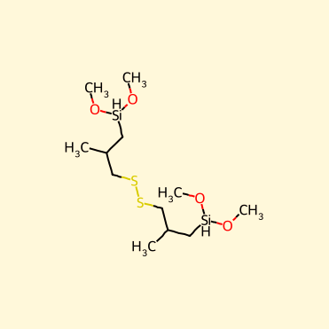 CO[SiH](CC(C)CSSCC(C)C[SiH](OC)OC)OC